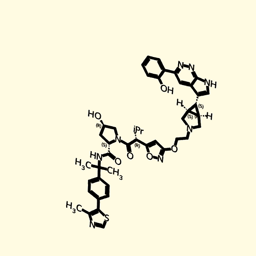 Cc1ncsc1-c1ccc(C(C)(C)NC(=O)[C@@H]2C[C@@H](O)CN2C(=O)[C@@H](c2cc(OCCN3C[C@@H]4[C@H](C3)[C@H]4c3c[nH]c4nnc(-c5ccccc5O)cc34)no2)C(C)C)cc1